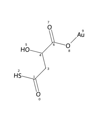 O=C(S)CC(O)C(=O)[O][Au]